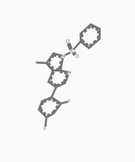 O=S(=O)(c1ccccc1)n1cc(I)c2cc(-c3ccc(F)cc3F)cnc21